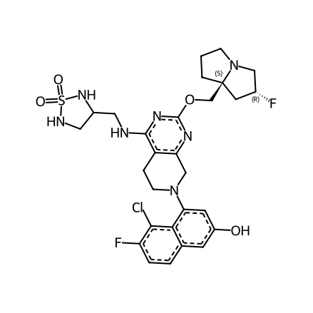 O=S1(=O)NCC(CNc2nc(OC[C@@]34CCCN3C[C@H](F)C4)nc3c2CCN(c2cc(O)cc4ccc(F)c(Cl)c24)C3)N1